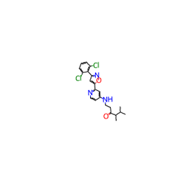 CC(C)C(C)C(=O)CCNc1ccnc(-c2cc(-c3c(Cl)cccc3Cl)no2)c1